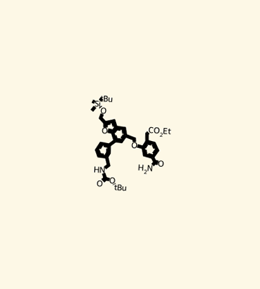 CCOC(=O)Cc1ccc(C(N)=O)cc1OCc1cc(-c2cccc(CNC(=O)OC(C)(C)C)c2)c2oc(CO[Si](C)(C)C(C)(C)C)cc2c1